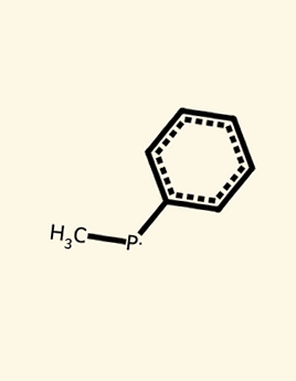 C[P]c1ccccc1